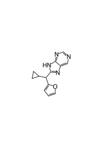 c1coc(C(c2nc3cncnc3[nH]2)C2CC2)c1